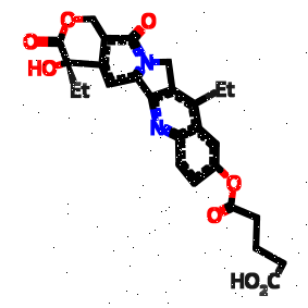 CCc1c2c(nc3ccc(OC(=O)CCCC(=O)O)cc13)-c1cc3c(c(=O)n1C2)COC(=O)[C@]3(O)CC